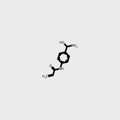 C=CC(=O)Nc1ccc(C(N)O)cc1